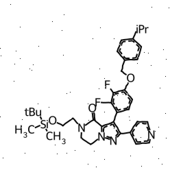 CC(C)c1ccc(COc2ccc(-c3c(-c4ccncc4)nn4c3C(=O)N(CCO[Si](C)(C)C(C)(C)C)CC4)c(F)c2F)cc1